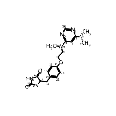 CN(C)c1cc(N(C)CCOc2ccc(CC3SC(=O)NC3=O)cc2)ncn1